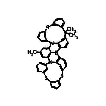 Cc1cc2c3c(c1)N1c4cccc(c4)Sc4cccc(c4)C(C)(C)c4ccc(c1c4)B3c1ccc3cc1N2c1cccc(c1)Sc1cccc(c1)S3